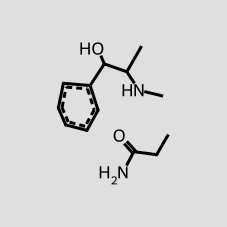 CCC(N)=O.CNC(C)C(O)c1ccccc1